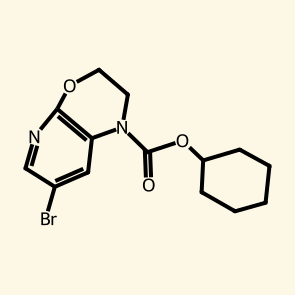 O=C(OC1CCCCC1)N1CCOc2ncc(Br)cc21